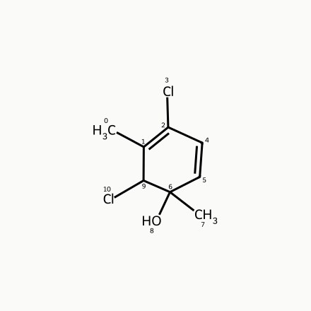 CC1=C(Cl)C=CC(C)(O)C1Cl